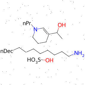 CCCCCCCCCCCCCCCCCCN.CCCN1C=C(C(C)O)CCC1.O=S(=O)(O)O